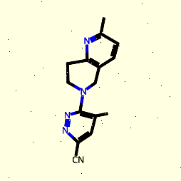 Cc1ccc2c(n1)CCN(c1nnc(C#N)cc1C)C2